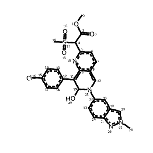 COC(=O)C(c1ccc2c(n1)=C(c1ccc(Cl)cc1)C(O)N(c1ccc3nn(C)cc3c1)C=2)S(C)(=O)=O